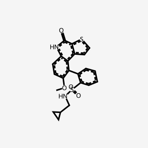 COc1ccc2[nH]c(=O)c3sccc3c2c1-c1ccccc1S(=O)(=O)NCC1CC1